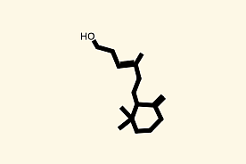 C=C1CCCC(C)(C)C1CCC(C)=CCCO